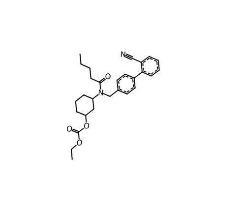 CCCCC(=O)N(Cc1ccc(-c2ccccc2C#N)cc1)C1CCCC(OC(=O)OCC)C1